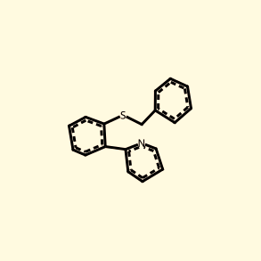 c1ccc(CSc2ccccc2-c2ccccn2)cc1